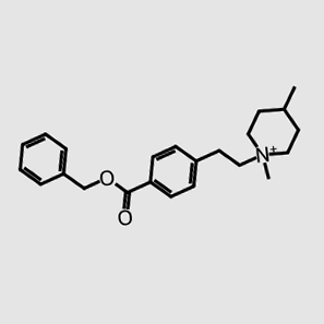 CC1CC[N+](C)(CCc2ccc(C(=O)OCc3ccccc3)cc2)CC1